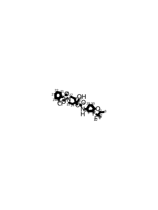 CC(Oc1ccc(NC(=O)OC2(CO)CCN(S(=O)(=O)c3ccccc3Cl)CC2)cc1)C(F)(F)F